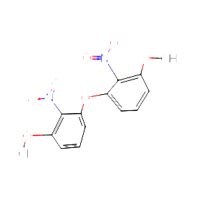 COc1cccc(Oc2cccc(OC)c2[N+](=O)[O-])c1[N+](=O)[O-]